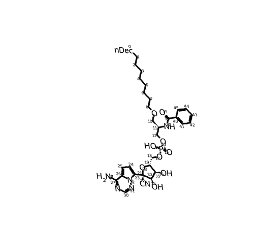 CCCCCCCCCCCCCCCCCCOC[C@H](COP(=O)(O)OC[C@H]1O[C@@](C#N)(c2ccc3c(N)ncnn23)[C@H](O)[C@@H]1O)NC(=O)c1ccccc1